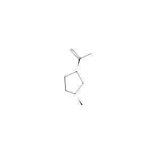 C=C(C)[C@@H]1CC[C@H](O)C1